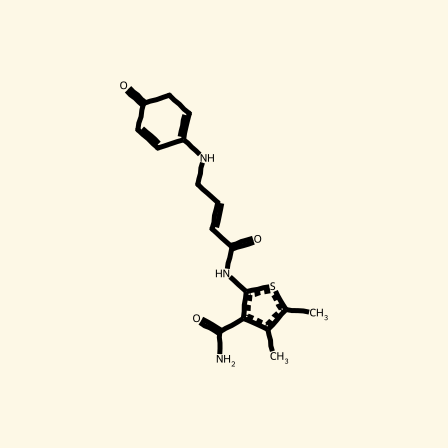 Cc1sc(NC(=O)C=CCNC2=CCC(=O)C=C2)c(C(N)=O)c1C